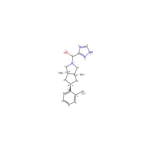 OC(c1nc[nH]n1)N1C[C@H]2C[C@@H](c3ccccc3C(F)(F)F)C[C@H]2C1